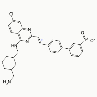 NCC1CCCC(CNc2nc(/C=C/c3ccc(-c4cccc([N+](=O)[O-])c4)cc3)nc3cc(Cl)ccc23)C1